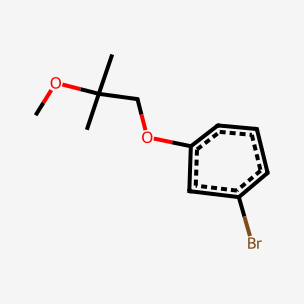 COC(C)(C)COc1cccc(Br)c1